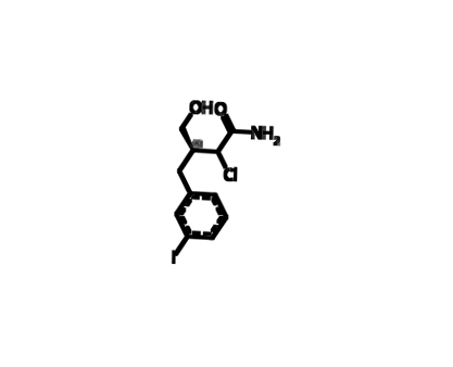 NC(=O)C(Cl)[C@H](CO)Cc1cccc(I)c1